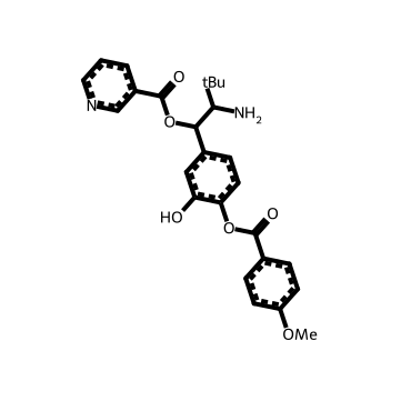 COc1ccc(C(=O)Oc2ccc(C(OC(=O)c3cccnc3)C(N)C(C)(C)C)cc2O)cc1